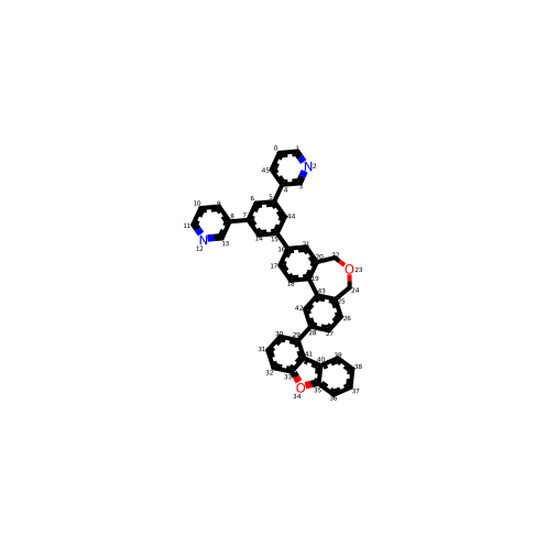 c1cncc(-c2cc(-c3cccnc3)cc(-c3ccc4c(c3)COCc3ccc(-c5cccc6oc7ccccc7c56)cc3-4)c2)c1